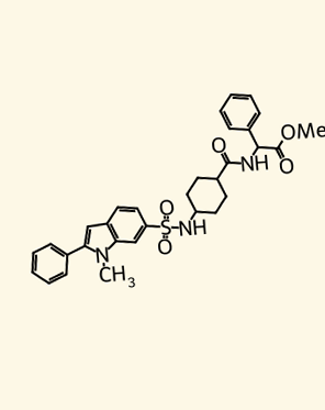 COC(=O)C(NC(=O)C1CCC(NS(=O)(=O)c2ccc3cc(-c4ccccc4)n(C)c3c2)CC1)c1ccccc1